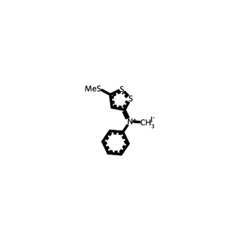 CSc1cc(=[N+](C)c2ccccc2)ss1.[I-]